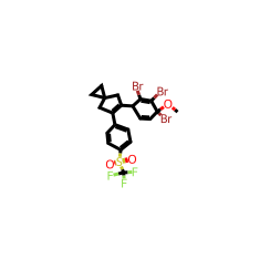 COC1(Br)C=CC(C2=C(c3ccc(S(=O)(=O)C(F)(F)F)cc3)CC3(CC3)C2)C(Br)=C1Br